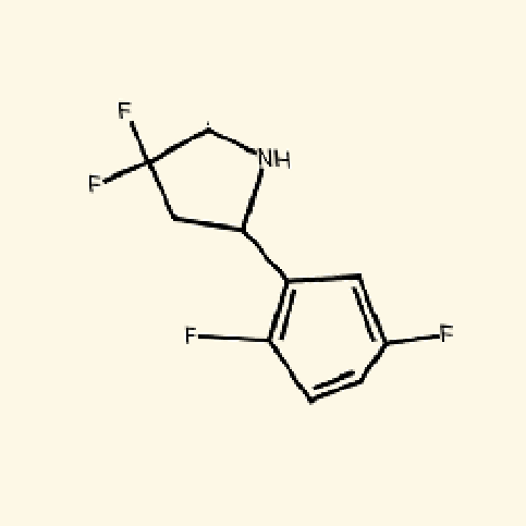 Fc1ccc(F)c(C2CC(F)(F)[CH]N2)c1